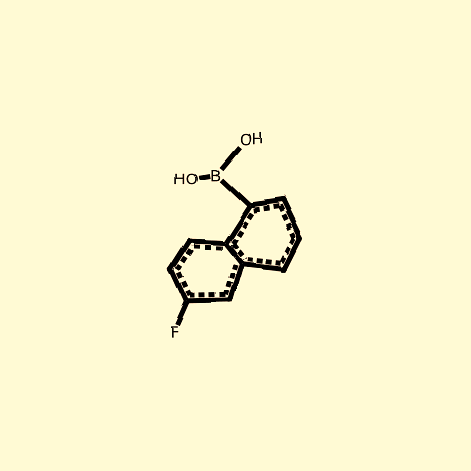 OB(O)c1cccc2cc(F)ccc12